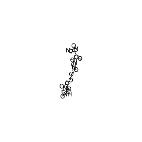 COc1cc(-c2cn(C)c(=O)c3cnccc23)cc(OC)c1CN1CCCN(C(=O)CCOCCOc2ccc3c(c2)C(=O)N(C2CCC(=O)NC2=O)C3=O)C1